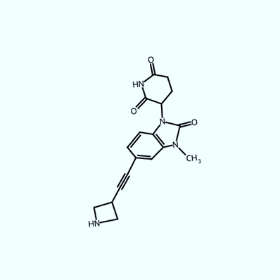 Cn1c(=O)n(C2CCC(=O)NC2=O)c2ccc(C#CC3CNC3)cc21